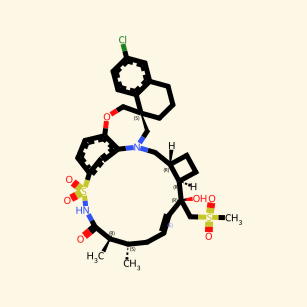 C[C@H]1C/C=C/[C@@](O)(CS(C)(=O)=O)[C@@H]2CC[C@H]2CN2C[C@@]3(CCCc4cc(Cl)ccc43)COc3ccc(cc32)S(=O)(=O)NC(=O)[C@@H]1C